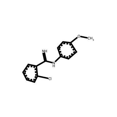 COc1ccc(NC(=N)c2ccccc2Cl)cc1